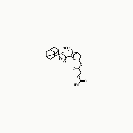 CCC(C)C(=O)OCC(=O)OC1CC2CC1C(C(=O)OC1(CC)C3CC4CC(C3)CC1C4)C2C(=O)O